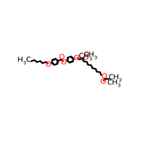 C=C(C)C(=O)OCCCCCCCCC[C@@](C)(COc1ccc(OC(=O)c2ccc(OCCCCCCC)cc2)cc1)OC